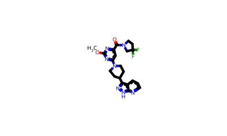 [CH2]Oc1nc(C(=O)N2CCC(F)(F)C2)cc(N2CCC(c3n[nH]c4ncccc34)CC2)n1